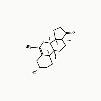 C#CC1=C2C[C@@H](O)CC[C@]2(C)[C@H]2CC[C@]3(C)C(=O)CC[C@H]3[C@@H]2C1